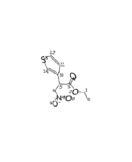 CCOC(=O)C(C[N+](=O)[O-])c1ccsc1